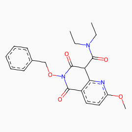 CCN(CC)C(=O)C1C(=O)N(OCc2ccccc2)C(=O)c2ccc(OC)nc21